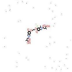 COc1cc2c(cc1OCCCOc1c(OC)cc3c(c1F)C(C)N(C(=O)CC(C)C(=O)O)C3)CN(C(=O)CC(C)C(=O)O)C2